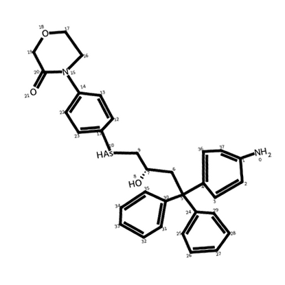 Nc1ccc(C(C[C@H](O)C[AsH]c2ccc(N3CCOCC3=O)cc2)(c2ccccc2)c2ccccc2)cc1